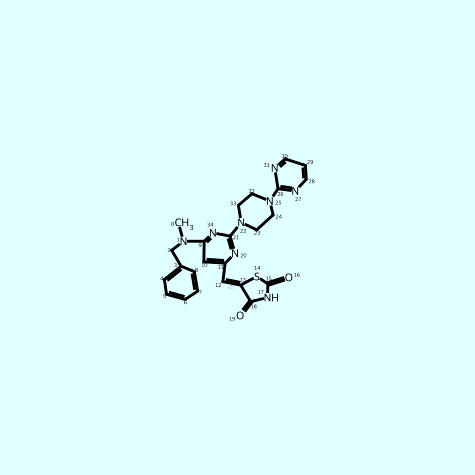 CN(Cc1ccccc1)c1cc(/C=C2\SC(=O)NC2=O)nc(N2CCN(c3ncccn3)CC2)n1